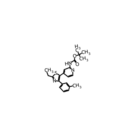 CCc1nc(-c2cccc(C)c2)c(-c2ccnc(NC(=O)OC(C)(C)C)c2)s1